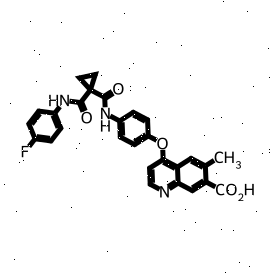 Cc1cc2c(Oc3ccc(NC(=O)C4(C(=O)Nc5ccc(F)cc5)CC4)cc3)ccnc2cc1C(=O)O